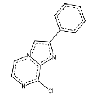 Clc1nccn2cc(-c3ccccc3)nc12